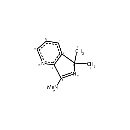 CNC1=NC(C)(C)c2cccnc21